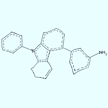 Nc1cccc(-c2cccc3c2c2c(n3-c3ccccc3)CCC=C2)c1